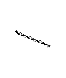 C#CCOCCOCCOCCOCCOCCCCBr